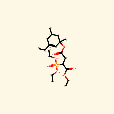 CCOC(=O)C(CC(=O)OC1(C)C=C(CC)CC(C)C1)P(=O)(OCC)OCC